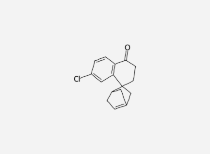 O=C1CCC2(CC3=CCC2C3)c2cc(Cl)ccc21